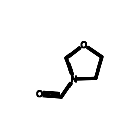 O=CN1CCOC1